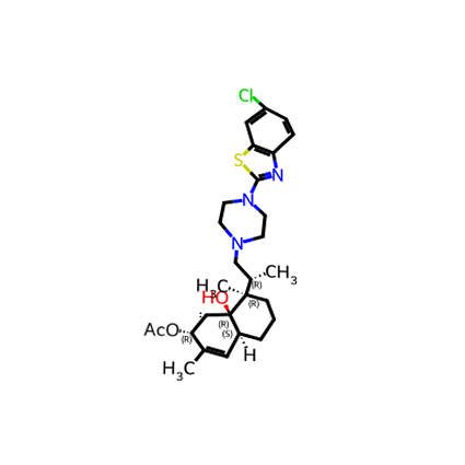 CC(=O)O[C@@H]1[C][C@@]2(O)[C@H](C=C1C)CCC[C@]2(C)[C@@H](C)CN1CCN(c2nc3ccc(Cl)cc3s2)CC1